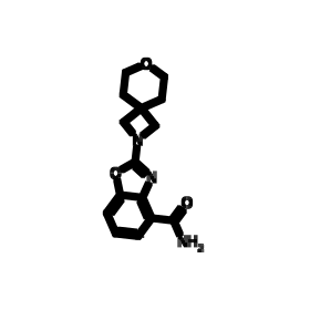 NC(=O)c1[c]ccc2oc(N3CC4(CCOCC4)C3)nc12